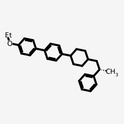 CCOc1ccc(-c2ccc(C3CCC(C[C@H](C)c4ccccc4)CC3)cc2)cc1